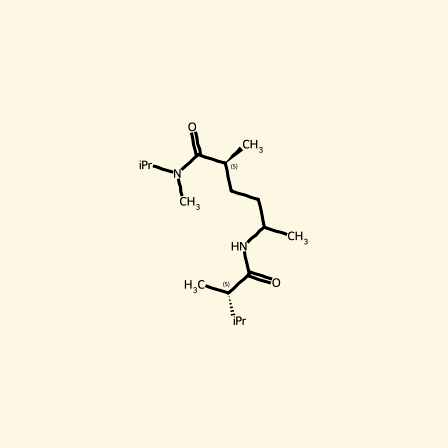 CC(CC[C@H](C)C(=O)N(C)C(C)C)NC(=O)[C@@H](C)C(C)C